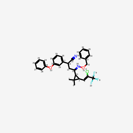 CC1(C)C(C=C(Cl)C(F)(F)F)C1C(CC(C#N)c1cccc(Oc2ccccc2)c1)=NOCc1ccccc1